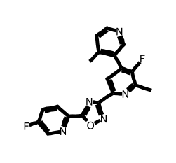 Cc1ccncc1-c1cc(-c2noc(-c3ccc(F)cn3)n2)nc(C)c1F